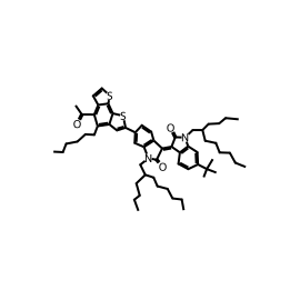 CCCCCCc1c(C(C)=O)c2ccsc2c2sc(-c3ccc4c(c3)N(CC(CCCC)CCCCCC)C(=O)/C4=C3/C(=O)N(CC(CCCC)CCCCCC)c4cc(C(C)(C)C)ccc43)cc12